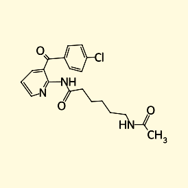 CC(=O)NCCCCCC(=O)Nc1ncccc1C(=O)c1ccc(Cl)cc1